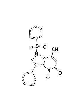 N#CC1=CC(=O)C(=O)c2c(-c3ccccc3)cn(S(=O)(=O)c3ccccc3)c21